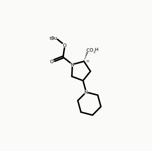 CC(C)(C)OC(=O)N1CC(N2CCCCC2)C[C@H]1C(=O)O